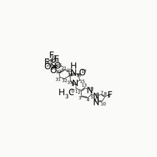 C[C@@H](c1ccc(-n2cc(F)cn2)nc1)N1CC(=O)NC2(CC=C(OS(=O)(=O)C(F)(F)F)CC2)C1